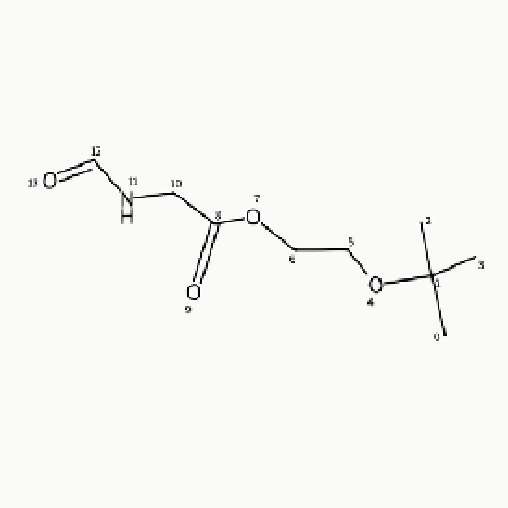 CC(C)(C)OCCOC(=O)CNC=O